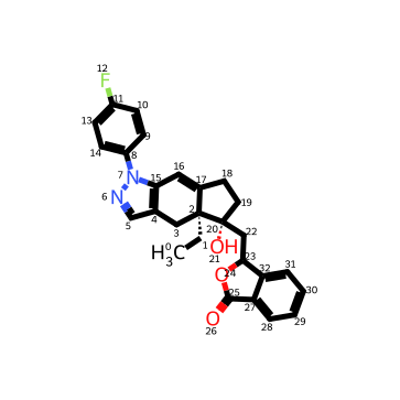 CC[C@]12Cc3cnn(-c4ccc(F)cc4)c3C=C1CC[C@@]2(O)CC1OC(=O)c2ccccc21